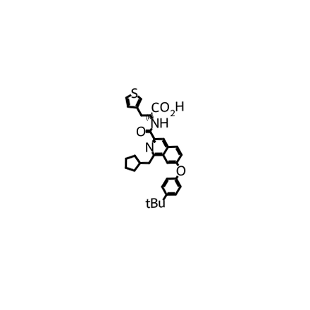 CC(C)(C)c1ccc(Oc2ccc3cc(C(=O)N[C@H](Cc4ccsc4)C(=O)O)nc(CC4CCCC4)c3c2)cc1